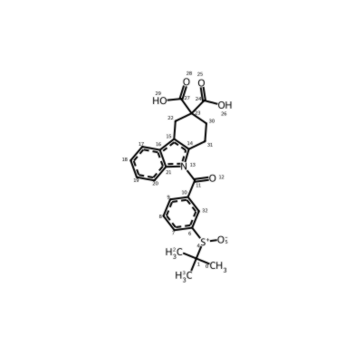 CC(C)(C)[S+]([O-])c1cccc(C(=O)n2c3c(c4ccccc42)CC(C(=O)O)(C(=O)O)CC3)c1